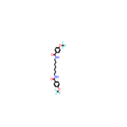 O=C(NCCCCCCCNC(=O)c1ccc(OC(F)(F)F)cc1)c1ccc(OC(F)(F)F)cc1